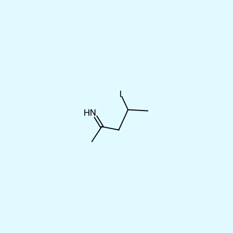 CC(=N)CC(C)I